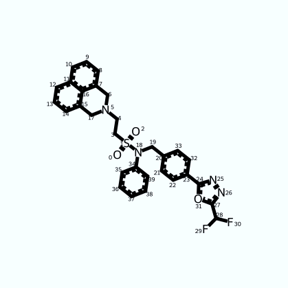 O=S(=O)(CCN1Cc2cccc3cccc(c23)C1)N(Cc1ccc(-c2nnc(C(F)F)o2)cc1)c1ccccc1